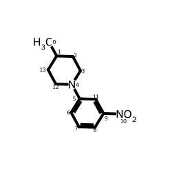 CC1CCN(c2cccc([N+](=O)[O-])c2)CC1